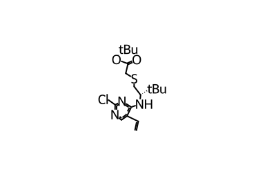 C=Cc1cnc(Cl)nc1N[C@H](CSCC(=O)OC(C)(C)C)C(C)(C)C